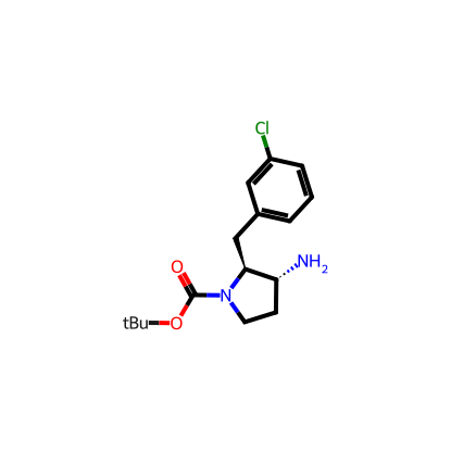 CC(C)(C)OC(=O)N1CC[C@@H](N)[C@@H]1Cc1cccc(Cl)c1